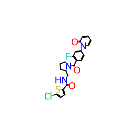 O=C(NCC1CCCN1C(=O)c1ccc(-n2ccccc2=O)cc1F)c1ccc(Cl)s1